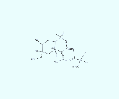 [3H]C1CC2[C@@H](CC1([3H])CO)c1c(O)cc(C(C)(C)CCCCCC)cc1OC2(C)C